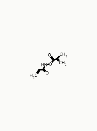 C=CC(=O)NOC(=O)C(=C)C